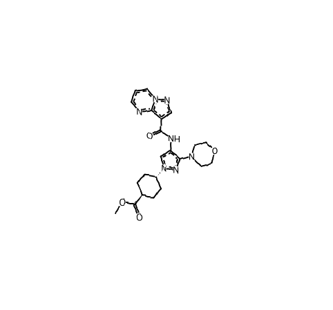 COC(=O)[C@H]1CC[C@H](n2cc(NC(=O)c3cnn4cccnc34)c(N3CCOCC3)n2)CC1